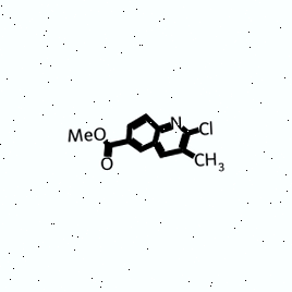 COC(=O)c1ccc2nc(Cl)c(C)cc2c1